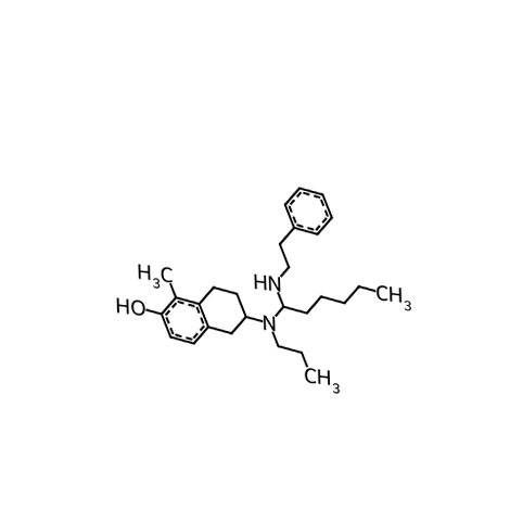 CCCCCC(NCCc1ccccc1)N(CCC)C1CCc2c(ccc(O)c2C)C1